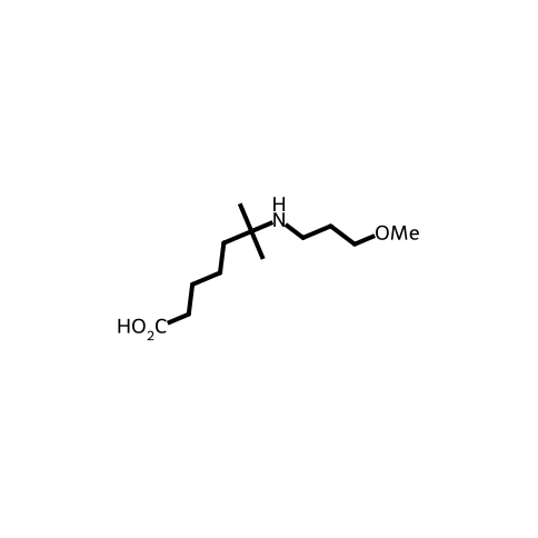 COCCCNC(C)(C)CCCCC(=O)O